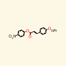 CCCOc1ccc(/C=C/C(=O)Oc2ccc([N+](=O)[O-])cc2)cc1